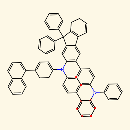 C1=CC2=C(CC1)C(c1ccccc1)(c1ccccc1)c1cc(N(C3=CC=C(c4cccc5ccccc45)CC3)c3ccc(-c4ccccc4)cc3)c(-c3ccc(N(c4ccccc4)c4ccccc4)cc3)cc12